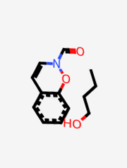 CCCCO.O=CN1C=Cc2ccccc2O1